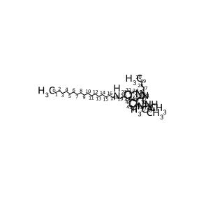 CCCCCCCCCCCCCCCCCCNCc1ccc(Cn2c(CCCC)nc3c(NC(C)(C)C)nc4ccccc4c32)cc1